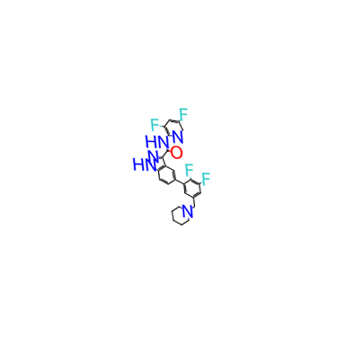 O=C(Nc1ncc(F)cc1F)c1n[nH]c2ccc(-c3cc(CN4CCCCC4)cc(F)c3F)cc12